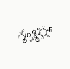 C=C(C)C(=O)OC(C)S(=O)(=O)c1ccc(F)cc1